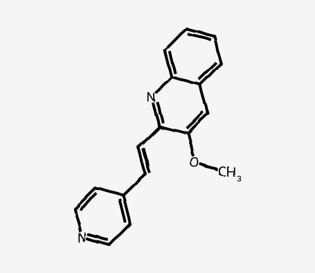 COc1cc2ccccc2nc1/C=C/c1ccncc1